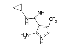 N=C(NC1CC1)c1c(C(F)(F)F)c[nH]c1N